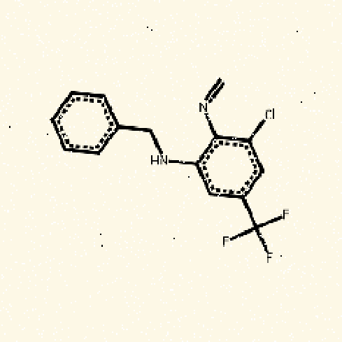 C=Nc1c(Cl)cc(C(F)(F)F)cc1NCc1ccccc1